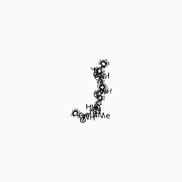 CNC(=O)C(CCCNC(=O)OCc1ccccc1)NC(=O)COc1ccc2c(c1)OCc1c-2[nH]c2ccc(OCC(=O)NC(CCc3ccccc3)C(=O)N(C)C)cc12